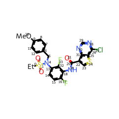 CCS(=O)(=O)N(Cc1ccc(OC)cc1)c1ccc(F)c(NC(=O)c2csc3c(Cl)ncnc23)c1F